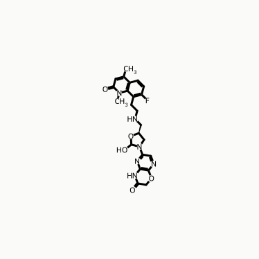 Cc1cc(=O)n(C)c2c(CCNC[C@H]3CN(c4cnc5c(n4)NC(=O)CO5)C(O)O3)c(F)ccc12